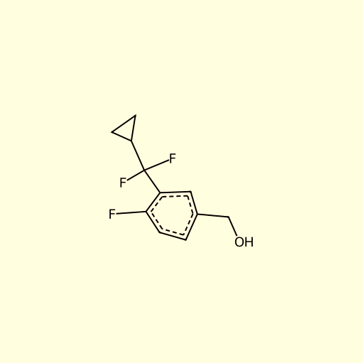 OCc1ccc(F)c(C(F)(F)C2CC2)c1